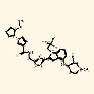 CO[C@@H]1CCC[C@H]1n1ccc(C(=O)NCc2nc(-c3cc4c(N[C@@H]5CCN(C)C[C@@H]5F)cccc4n3CC(F)(F)F)no2)c1